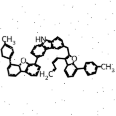 C=C/C=C\C1=C(Cc2ccc3[nH]c4ccc(-c5cccc6c5OC5C(C7=CC=C(C)CC7)=CC=CC65)cc4c3c2)OC2C(c3ccc(C)cc3)=CC=CC12